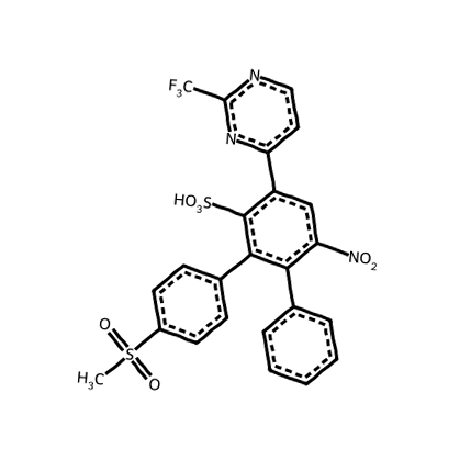 CS(=O)(=O)c1ccc(-c2c(-c3ccccc3)c([N+](=O)[O-])cc(-c3ccnc(C(F)(F)F)n3)c2S(=O)(=O)O)cc1